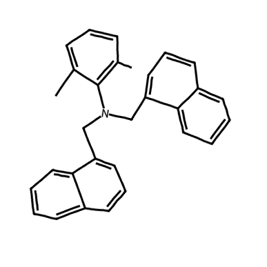 Cc1cccc(C)c1N(Cc1cccc2ccccc12)Cc1cccc2ccccc12